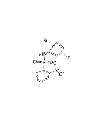 O=[N+]([O-])c1ccccc1S(=O)(=O)Nc1cc(F)ccc1Br